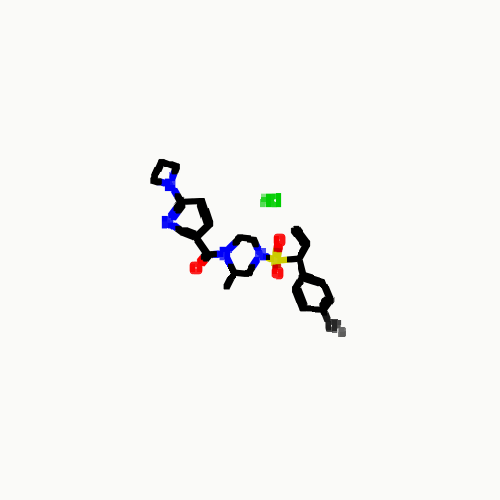 C=CC(c1ccc(C(F)(F)F)cc1)S(=O)(=O)N1CCN(C(=O)c2ccc(N3CCC3)nc2)C(C)C1.Cl